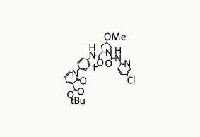 CO[C@@H]1C[C@H](C(=O)Nc2ccc(-n3cccc(C(=O)OC(C)(C)C)c3=O)cc2F)N(C(=O)Nc2ccc(Cl)cn2)C1